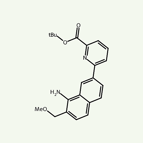 COCc1ccc2ccc(-c3cccc(C(=O)OC(C)(C)C)n3)cc2c1N